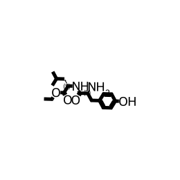 CCOC(=O)[C@H](CC(C)C)NC(=O)[C@H](N)Cc1ccc(O)cc1